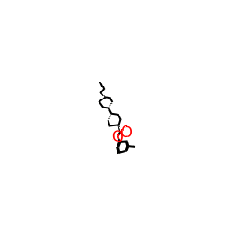 CCC[C@H]1CC[C@H]([C@H]2CC[C@H](C(=O)Oc3cccc(C)c3)CC2)CC1